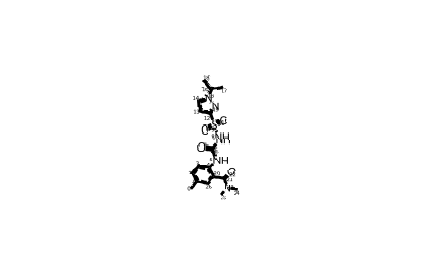 Cc1ccc(NC(=O)NS(=O)(=O)c2ccn(C(C)C)n2)c(C(=O)N(C)C)c1